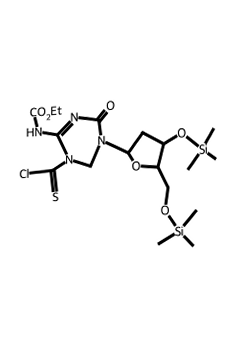 CCOC(=O)NC1=NC(=O)N(C2CC(O[Si](C)(C)C)C(CO[Si](C)(C)C)O2)CN1C(=S)Cl